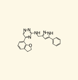 c1ccc(-c2cc(CNc3nncc(-c4cccc5c4OCC5)n3)n[nH]2)cc1